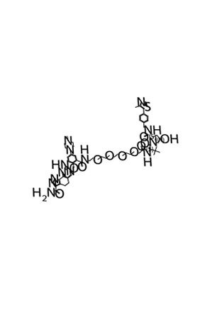 COc1c(Nc2ncc3c(n2)-c2c(c(C(N)=O)nn2C)CC3)cc(N2CCN(C)CC2)cc1C(=O)NCCOCCOCCOCCOCC(=O)N[C@H](C(=O)N1C[C@H](O)C[C@H]1C(=O)NCc1ccc(-c2scnc2C)cc1)C(C)(C)C